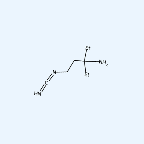 CCC(N)(CC)CCN=C=N